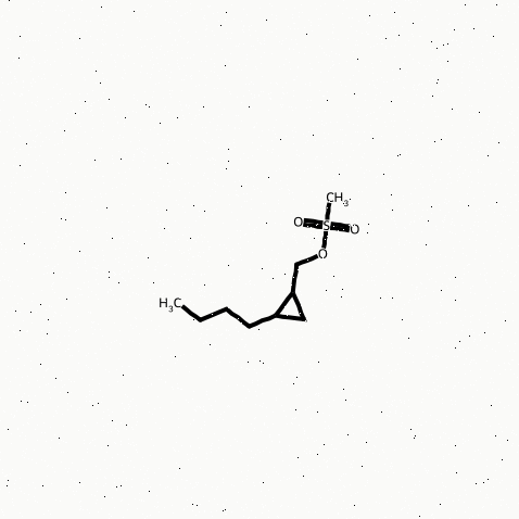 CCCCC1CC1COS(C)(=O)=O